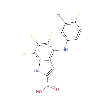 O=C(O)c1cc2c(Nc3ccc(F)c(Cl)c3)c(F)c(F)c(F)c2[nH]1